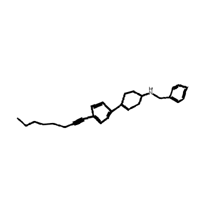 CCCCCCC#Cc1ccc(C2CCC(NCc3ccccc3)CC2)cc1